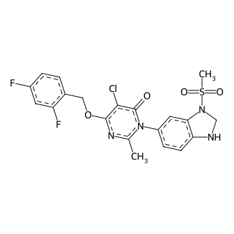 Cc1nc(OCc2ccc(F)cc2F)c(Cl)c(=O)n1-c1ccc2c(c1)N(S(C)(=O)=O)CN2